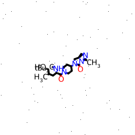 Cc1ncc2n1C(=O)N(C1CCN(C(=O)C(CC(C)CC(C)(C)C)NC(=O)O)CC1)C2